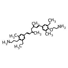 C=C(/C=C/c1cc(C)c(CCCN)c(CC)c1)CC(=C)/C=C/c1cc(C)c(OCCN)c(CC)c1